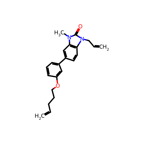 C=CCCCOc1cccc(-c2ccc3c(c2)n(C)c(=O)n3CC=C)c1